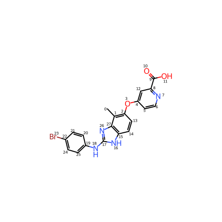 Cc1c(Oc2ccnc(C(=O)O)c2)ccc2[nH]c(Nc3ccc(Br)cc3)nc12